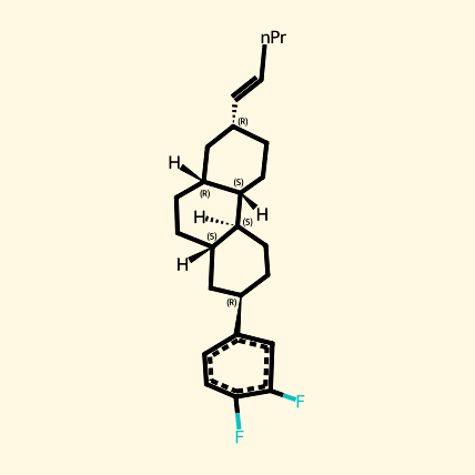 CCCC=C[C@@H]1CC[C@H]2[C@H](CC[C@H]3C[C@H](c4ccc(F)c(F)c4)CC[C@@H]32)C1